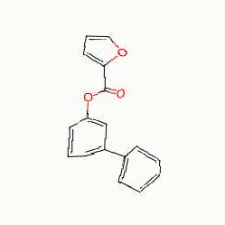 O=C(Oc1cccc(-c2ccccc2)c1)c1ccco1